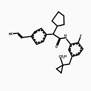 N#CC=Cc1ccc(C(C(=O)Nc2cc(CC3(C(=O)O)CC3)ccc2F)C2CCCC2)cc1